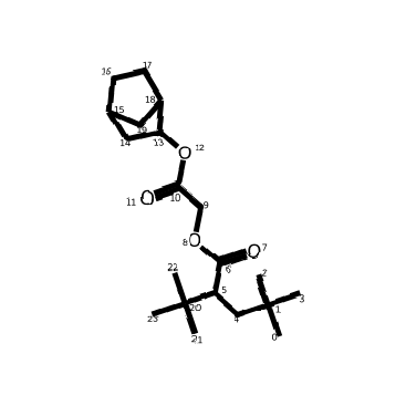 CC(C)(C)CC(C(=O)OCC(=O)OC1CC2CCC1C2)C(C)(C)C